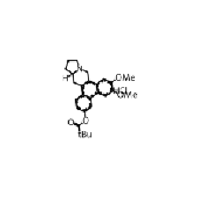 COc1cc2c3c(c4ccc(OC(=O)C(C)(C)C)cc4c2cc1OC)C[C@@H]1CCCN1C3.Cl